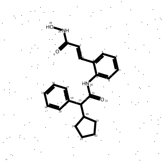 O=C(C=Cc1ccccc1NC(=O)C(c1ccccc1)C1CCCC1)NO